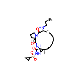 CC(C)(C)CCN[C@H]1CCCCC/C=C\[C@@H]2C[C@@]2(C(=O)NS(=O)(=O)C2CC2)NC(=O)[C@@H]2CCCN2C1=O